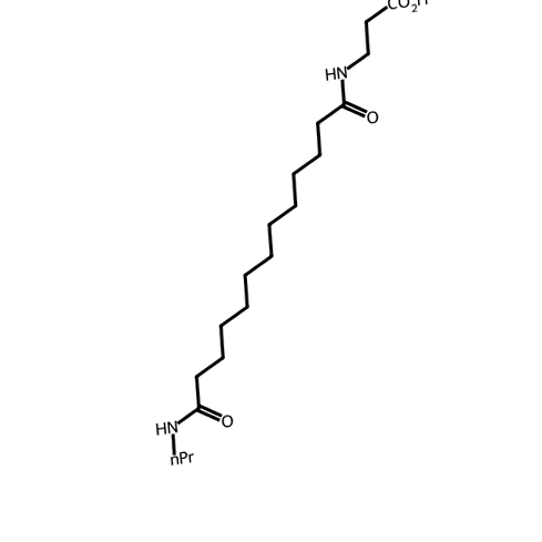 CCCNC(=O)CCCCCCCCCCCC(=O)NCCC(=O)O